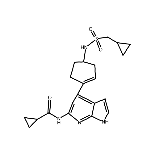 O=C(Nc1cc(C2=CCC(NS(=O)(=O)CC3CC3)CC2)c2cc[nH]c2n1)C1CC1